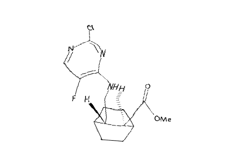 COC(=O)[C@H]1C2CCC(CC2)[C@@H]1Nc1nc(Cl)ncc1F